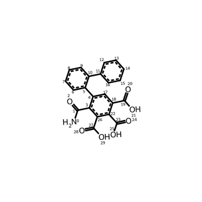 NC(=O)c1c(-c2ccccc2-c2ccccc2)cc(C(=O)O)c(C(=O)O)c1C(=O)O